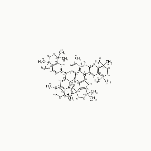 Cc1cc2c3c(c1)N(c1cc4c(cc1C)C(C)(C)CCC4(C)C)c1sc4c(c1B3c1cc3c(cc1N2c1ccc2c(c1)C(C)(C)CCC2(C)C)C1(C)CCC3(C)CC1)C(C)(C)CCC4(C)C